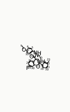 CCN(Nc1ccc(OC)cc1)C(=O)C(NC(=O)c1cccc(C)c1)c1ccc(F)cc1